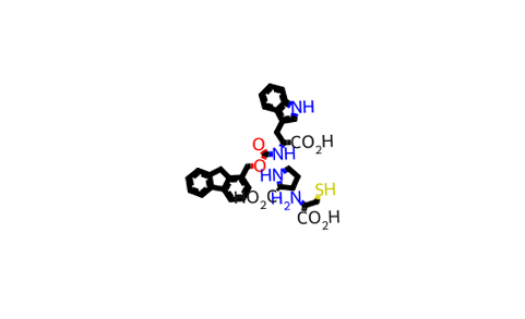 NC(CS)C(=O)O.O=C(NC(Cc1c[nH]c2ccccc12)C(=O)O)OCc1cccc2c1Cc1ccccc1-2.O=C(O)[C@@H]1CCCN1